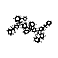 CC(C)(c1ccccc1)c1ccc(N(c2ccc(C(C)(c3ccccc3)C(C)(c3ccccc3)c3ccc(N(c4ccc(C(C)(C)c5ccccc5)cc4)P4(=S)Oc5ccccc5-c5ccccc54)cc3)cc2)P2Oc3ccccc3-c3ccccc32)cc1